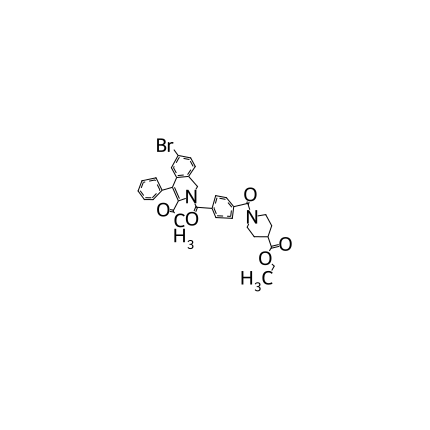 CCOC(=O)C1CCN(C(=O)c2ccc(C(=O)N3Cc4ccc(Br)cc4C(c4ccccc4)=C3C(C)=O)cc2)CC1